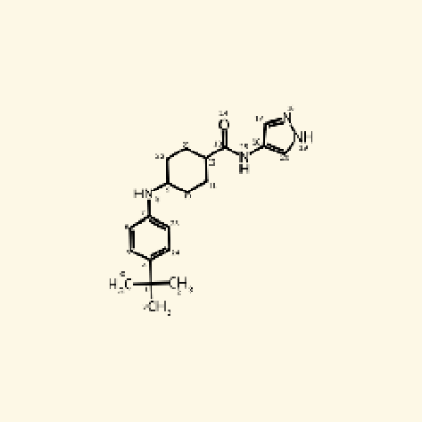 CC(C)(C)c1ccc(NC2CCC(C(=O)Nc3cn[nH]c3)CC2)cc1